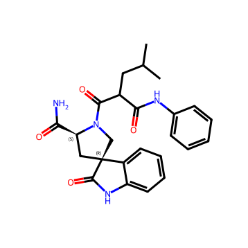 CC(C)CC(C(=O)Nc1ccccc1)C(=O)N1C[C@]2(C[C@H]1C(N)=O)C(=O)Nc1ccccc12